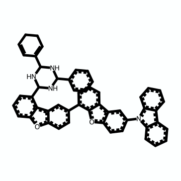 C1=CC(C2NC(c3ccccc3)NC(c3cccc4oc5ccc(-c6cccc7c6oc6ccc(-n8c9ccccc9c9ccccc98)cc67)cc5c34)N2)=CCC1